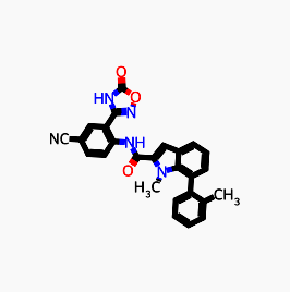 Cc1ccccc1-c1cccc2cc(C(=O)Nc3ccc(C#N)cc3-c3noc(=O)[nH]3)n(C)c12